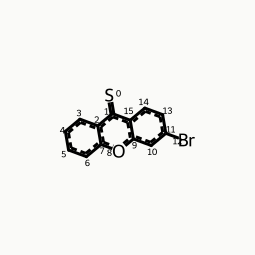 S=c1c2ccccc2oc2cc(Br)ccc12